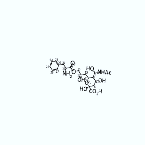 CC(=O)N[C@@H](O)C1C(O)CC(O)(C(=O)O)OC1C[C@H](O)COC(=O)C(N)Cc1ccccc1